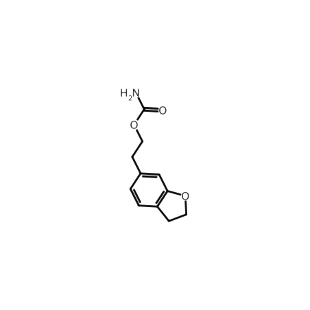 NC(=O)OCCc1ccc2c(c1)OCC2